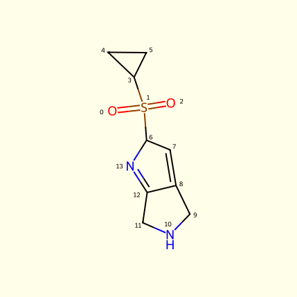 O=S(=O)(C1CC1)C1C=C2CNCC2=N1